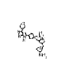 Nc1ncc(CN2CCC[C@@H](N)C2)cc1COc1ccc(-c2cc3c(N4CCOCC4)ncnc3[nH]2)cc1